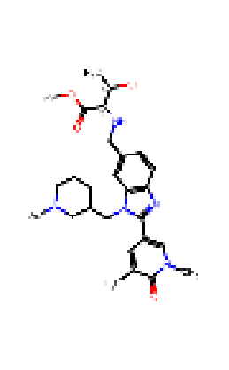 CC(=O)N1CCCC(Cn2c(-c3cc(C)c(=O)n(C)c3)nc3ccc(CN[C@H](C(=O)OC(C)C)[C@@H](C)O)cc32)C1